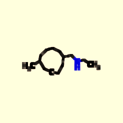 CCNCC1CCCCC(C)CCCC1